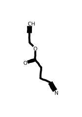 C#CCOC(=O)CCC#N